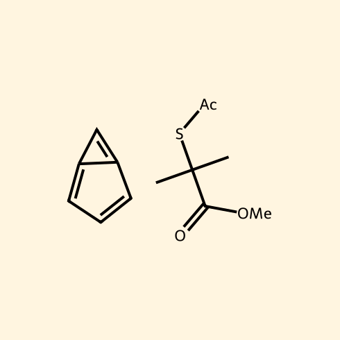 COC(=O)C(C)(C)SC(C)=O.c1cc2cc-2c1